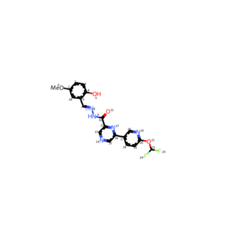 COc1ccc(O)c(/C=N/NC(=O)c2cncc(-c3ccc(OC(F)F)nc3)n2)c1